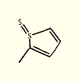 CC1=CC=[C]S1=S